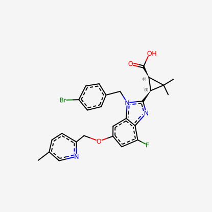 Cc1ccc(COc2cc(F)c3nc([C@H]4[C@@H](C(=O)O)C4(C)C)n(Cc4ccc(Br)cc4)c3c2)nc1